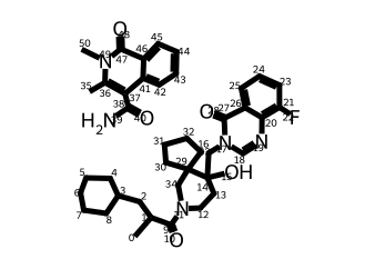 CC(CC1CCCCC1)C(=O)N1CCC(O)(Cn2cnc3c(F)cccc3c2=O)C2(CCCC2)C1.Cc1c(C(N)=O)c2ccccc2c(=O)n1C